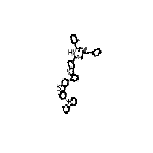 c1ccc(C2=NC(c3ccccc3)NC(c3ccc4sc5c(-c6ccc7sc8ccc(-n9c%10ccccc%10c%10ccccc%109)cc8c7c6)cccc5c4c3)=N2)cc1